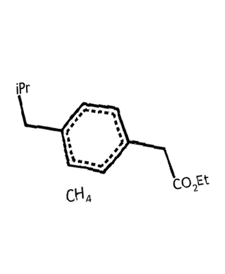 C.CCOC(=O)Cc1ccc(CC(C)C)cc1